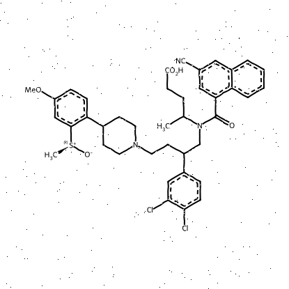 COc1ccc(C2CCN(CCC(CN(C(=O)c3cc(C#N)cc4ccccc34)C(C)CCC(=O)O)c3ccc(Cl)c(Cl)c3)CC2)c([S@+](C)[O-])c1